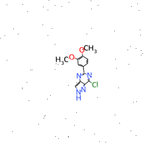 COc1ccc(-c2nc(Cl)c3n[nH]cc3n2)cc1OC